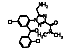 CN(C)C(=O)c1nc(CN)n(-c2ccc(Cl)cc2C(=O)c2ccccc2Cl)n1